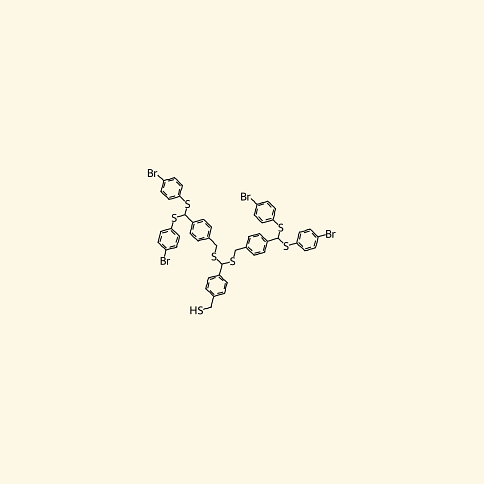 SCc1ccc(C(SCc2ccc(C(Sc3ccc(Br)cc3)Sc3ccc(Br)cc3)cc2)SCc2ccc(C(Sc3ccc(Br)cc3)Sc3ccc(Br)cc3)cc2)cc1